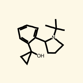 CC(C)(C)N1CCCC1c1ccccc1C1(O)CC1